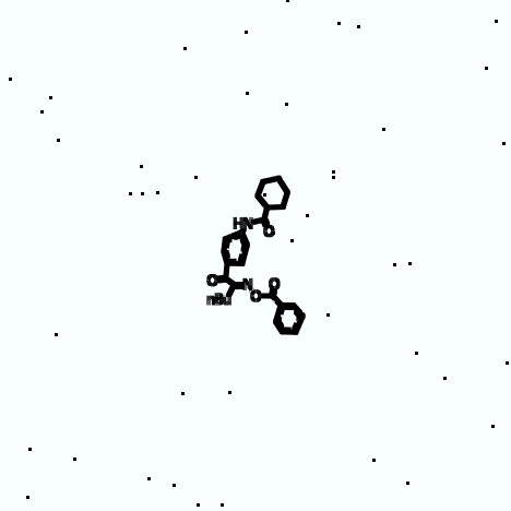 CCCC/C(=N\OC(=O)c1ccccc1)C(=O)c1ccc(NC(=O)C2CCCCC2)cc1